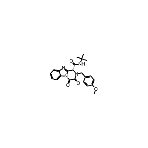 COc1ccc(CN2C(=O)C(=O)n3c(nc4ccccc43)[C@@H]2C(=O)NC(C)(C)C)cc1